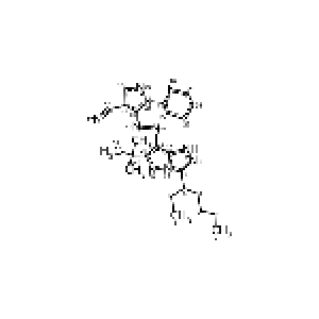 CCCCC(CC)c1n[nH]c2c(/N=N/c3c(C#N)cnn3-c3ccccn3)c(C(C)(C)C)nn12